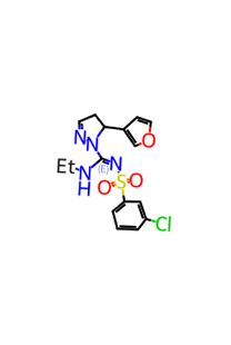 CCN/C(=N\S(=O)(=O)c1cccc(Cl)c1)N1N=CCC1c1ccoc1